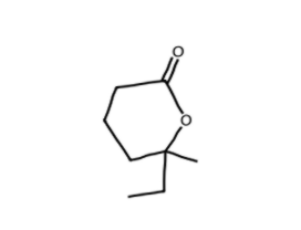 CCC1(C)CCCC(=O)O1